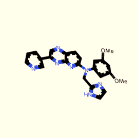 COc1cc(OC)cc(N(Cc2ncc[nH]2)c2ccc3ncc(-c4cccnc4)nc3n2)c1